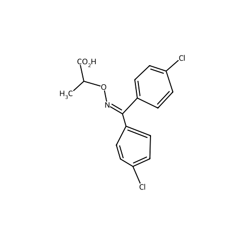 CC(ON=C(c1ccc(Cl)cc1)c1ccc(Cl)cc1)C(=O)O